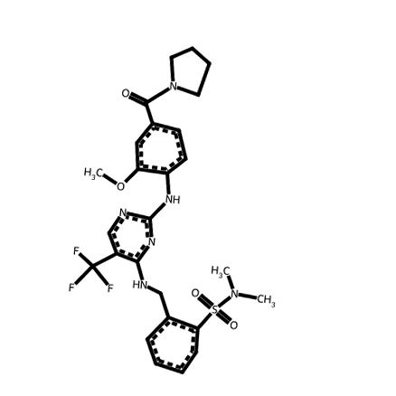 COc1cc(C(=O)N2CCCC2)ccc1Nc1ncc(C(F)(F)F)c(NCc2ccccc2S(=O)(=O)N(C)C)n1